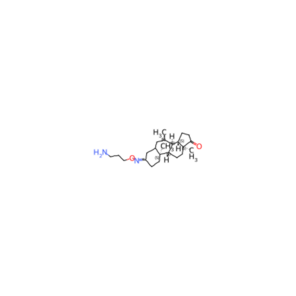 C[C@@H]1CC2CC(=NOCCCN)CC[C@]2(C)[C@H]2CC[C@]3(C)C(=O)CC[C@H]3[C@H]12